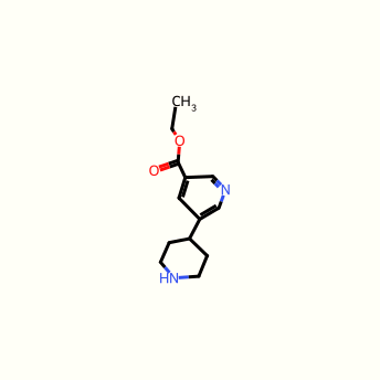 CCOC(=O)c1cncc(C2CCNCC2)c1